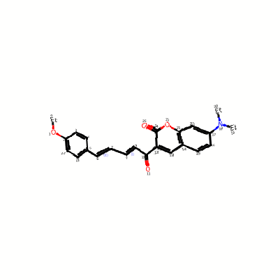 CCOc1ccc(/C=C/C=C/C(=O)c2cc3ccc(N(CC)CC)cc3oc2=O)cc1